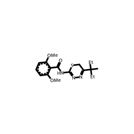 CCC(C)(CC)C1=NN=C(NC(=O)c2c(OC)cccc2OC)SC1